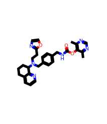 Cc1ncnc(C)c1OC(=O)NCc1ccc(CN(CCc2ncco2)C2CCCc3cccnc32)cc1